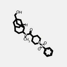 CN(C(=O)C1CCN(S(=O)(=O)c2ccccc2)CC1)C1CCC2C[C@@H]3CC(CO)(C2)CC13